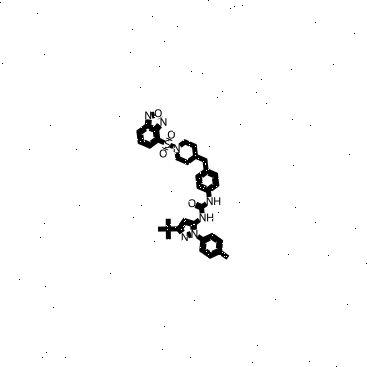 Cc1ccc(-n2nc(C(C)(C)C)cc2NC(=O)Nc2ccc(CC3CCN(S(=O)(=O)c4cccc5nonc45)CC3)cc2)cc1